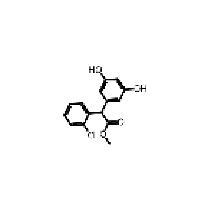 COC(=O)C(c1cc(O)cc(O)c1)c1ccccc1Cl